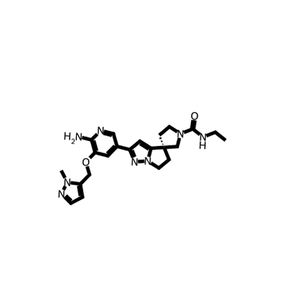 CCNC(=O)N1CC[C@@]2(CCn3nc(-c4cnc(N)c(OCc5ccnn5C)c4)cc32)C1